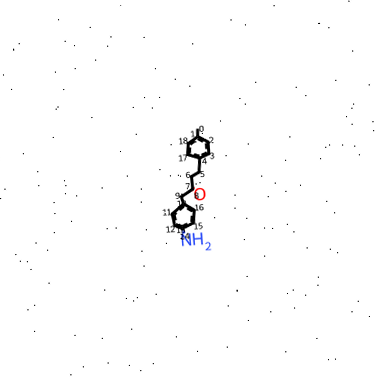 Cc1ccc(CCC(=O)Cc2ccc(N)cc2)cc1